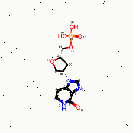 O=c1[nH]ccc2c1ncn2[C@@H]1CO[C@H](COP(=O)(O)O)C1